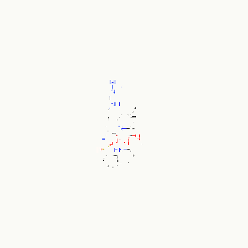 CCOC(=O)[C@H]1C[C@H](C)CCN1C(=O)C(CCCNC=NN)NS(=O)(=O)c1cccc2c1NCC(C)C2